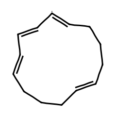 [C]1=C/CCC/C=C/CCC/C=C/C=C/1